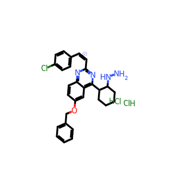 Cl.Cl.NNC1CCCCC1c1nc(/C=C\c2ccc(Cl)cc2)nc2ccc(OCc3ccccc3)cc12